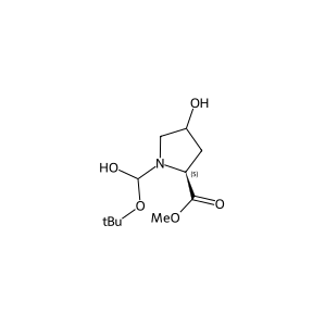 COC(=O)[C@@H]1CC(O)CN1C(O)OC(C)(C)C